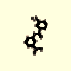 Nc1cccc(C(=O)Oc2cccc([N+](=O)[O-])c2)c1